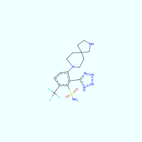 NS(=O)(=O)c1c(C(F)(F)F)ccc(N2CCC3(CCNC3)CC2)c1-c1nnn[nH]1